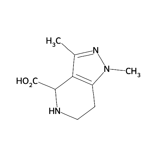 Cc1nn(C)c2c1C(C(=O)O)NCC2